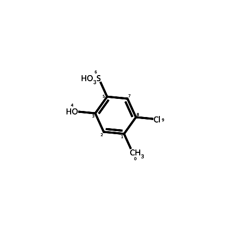 Cc1cc(O)c(S(=O)(=O)O)cc1Cl